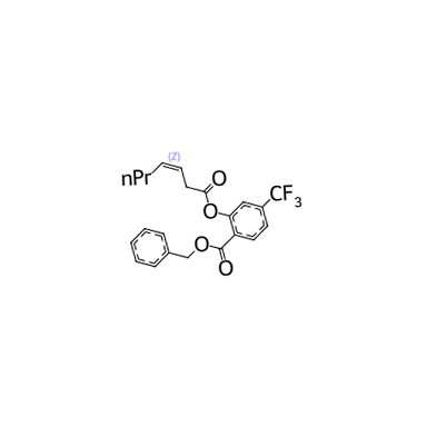 CCC/C=C\CC(=O)Oc1cc(C(F)(F)F)ccc1C(=O)OCc1ccccc1